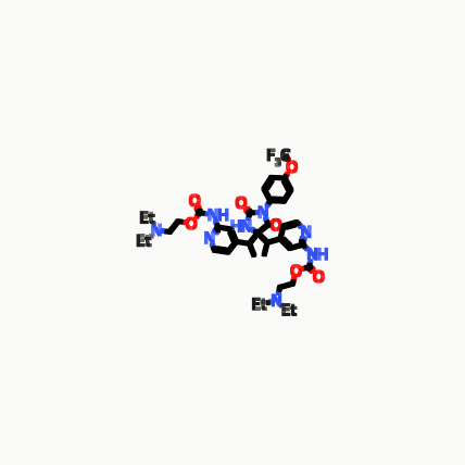 CCN(CC)CCOC(=O)Nc1cc(C(C)C2(C(C)c3ccnc(NC(=O)OCCN(CC)CC)c3)NC(=O)N(c3ccc(OC(F)(F)F)cc3)C2=O)ccn1